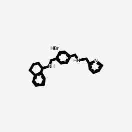 Br.c1ccc(CNCc2ccc(CNC3CCCc4ccccc43)cc2)nc1